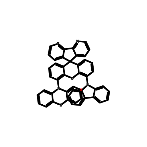 c1ccc2c(c1)Sc1ccccc1N2c1cccc2c1Oc1c(-n3c4ccccc4c4ccccc43)cccc1C21c2cccnc2-c2ncccc21